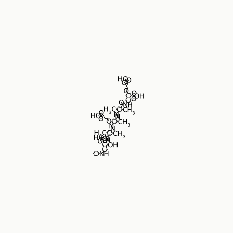 Cc1cc(C(=O)Nc2ccc3c(S(=O)(=O)O)cc(OCCCS(=O)(=O)O)cc3c2)c(C)cc1N=Nc1cc(OCCCS(=O)(=O)O)c(N=Nc2cc(C)c(N=Nc3c(S(=O)(=O)O)cc4cc(Nc5ccccc5)ccc4c3O)cc2C)cc1C